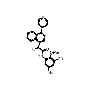 COc1c(C#N)cc(C(C)(C)C)cc1NC(=O)C(=O)c1ccc(-c2ccncc2)c2ccccc12